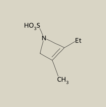 CCC1=C(C)CN1S(=O)(=O)O